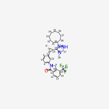 C[C@H]1[C@H](c2cccc(N3Cc4c(cccc4C(F)(F)F)C3=O)c2)[C@@H]1C1N(C)CNN1C1CCCCCCCC1